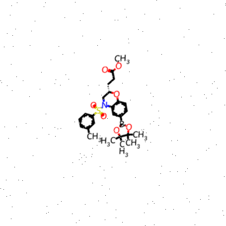 COC(=O)CC[C@H]1CN(S(=O)(=O)c2cccc(C)c2)c2cc(B3OC(C)(C)C(C)(C)O3)ccc2O1